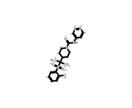 CC(C)(C1CCN(C(=O)Nc2ccnnc2)CC1)S(=O)(=O)c1ccccc1Cl